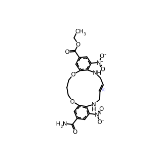 CCOC(=O)c1cc2c(c([N+](=O)[O-])c1)NC/C=C/CNc1c(cc(C(N)=O)cc1[N+](=O)[O-])OCCCO2